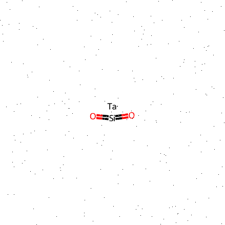 O=[Si]=O.[Ta]